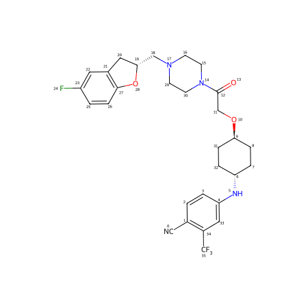 N#Cc1ccc(N[C@H]2CC[C@H](OCC(=O)N3CCN(C[C@H]4Cc5cc(F)ccc5O4)CC3)CC2)cc1C(F)(F)F